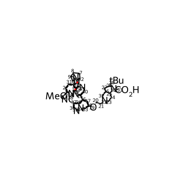 COc1ccc(CN2C3CC2CN(c2cnc(-c4cc(OCCN5CCC6C(CC(C(C)(C)C)N6C(=O)O)C5)cn5ncc(C#N)c45)cn2)C3)cn1